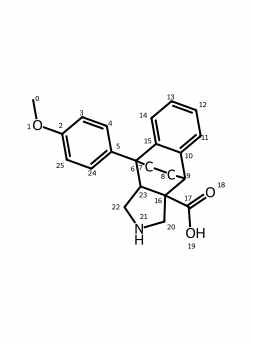 COc1ccc(C23CCC(c4ccccc42)C2(C(=O)O)CNCC32)cc1